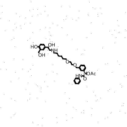 CC(=O)ON(C(=O)Nc1ccccc1)c1cccc(COCCOCCCCCCNCC(O)c2ccc(O)c(CO)c2)c1